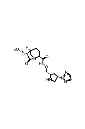 O=C(NOC[C@@H]1C[C@@H](n2nccn2)CN1)[C@@H]1CC[C@@H]2CN1C(=O)N2OS(=O)(=O)O